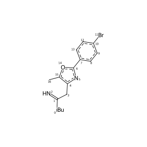 CCC(C)C(=N)Cc1nc(-c2ccc(Br)cc2)oc1C